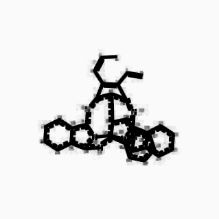 C=CC1=C(/C=C\C)c2nc3c4ccccc4c4nc5c6c(nc7c8ccccc8c(nc1c26)n7Cn34)-c1ccccc1-5